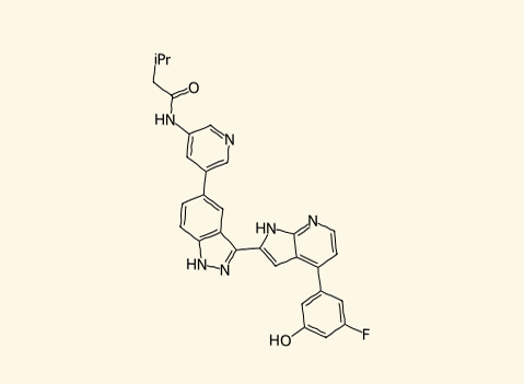 CC(C)CC(=O)Nc1cncc(-c2ccc3[nH]nc(-c4cc5c(-c6cc(O)cc(F)c6)ccnc5[nH]4)c3c2)c1